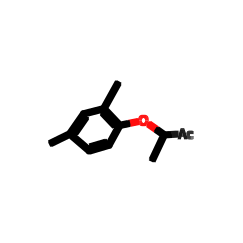 CC(=O)C(C)Oc1ccc(C)cc1C